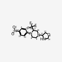 O=[N+]([O-])c1ccc(N2CCN(C3COCN3)CC2C(F)(F)F)cc1